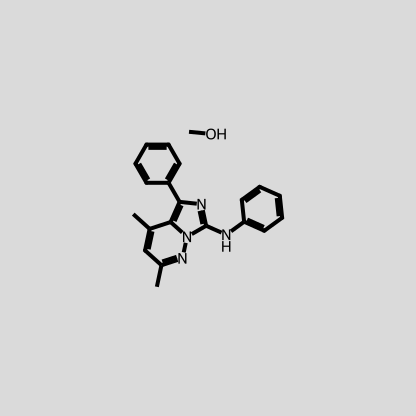 CO.Cc1cc(C)c2c(-c3ccccc3)nc(Nc3ccccc3)n2n1